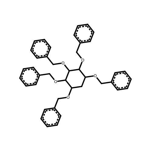 c1ccc(COC2CC(OCc3ccccc3)C(OCc3ccccc3)C(OCc3ccccc3)C2OCc2ccccc2)cc1